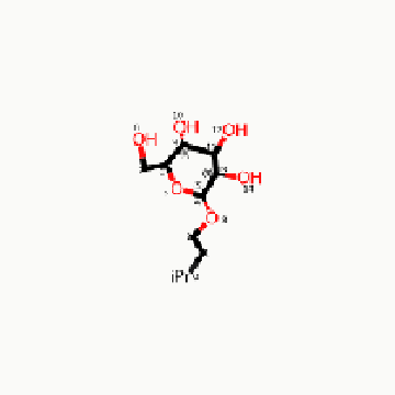 CC(C)CCO[C@H]1OC(CO)[C@H](O)C(O)[C@H]1O